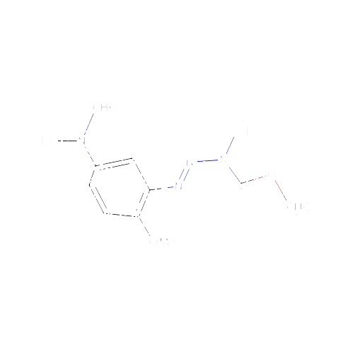 COc1ccc(N(C)C=O)cc1/N=N/N(C)COC=O